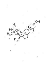 CNC(C)(C)CCC(C)C1CCC2C3CC=C4C[C@@H](O)CC[C@@H]4C3CC[C@]12C